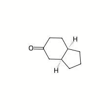 O=C1CC[C@H]2CCC[C@H]2C1